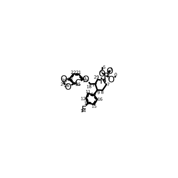 COP(=O)(OC)N1CCC(c2ccc(F)cc2)C(COc2ccc3c(c2)OCO3)C1